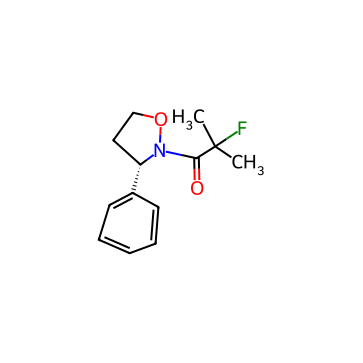 CC(C)(F)C(=O)N1OCC[C@H]1c1ccccc1